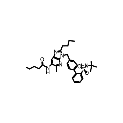 CCCCC(=O)Nc1cc2nc(CCCC)n(Cc3ccc(-c4ccccc4S(=O)(=O)NC(C)(C)C)cc3)c2nc1C